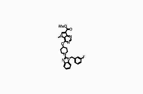 COC(=O)c1cn(C)c2c(OC3CCN(c4nc5ccccc5n4Cc4cccc(F)c4)CC3)ncnc12